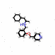 CC(CC1CCCCC1)NCc1ccccc1OCc1ccncc1